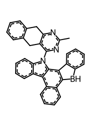 Cc1nc2c(c(-n3c4ccccc4c4c5ccccc5c5c(c43)-c3ccccc3B5)n1)Cc1ccccc1C2